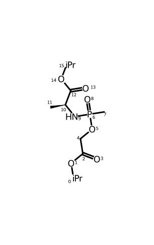 CC(C)OC(=O)COP(C)(=O)N[C@@H](C)C(=O)OC(C)C